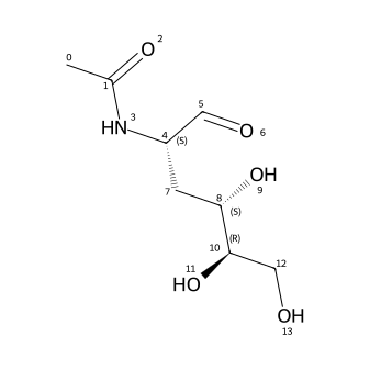 CC(=O)N[C@H](C=O)C[C@H](O)[C@H](O)CO